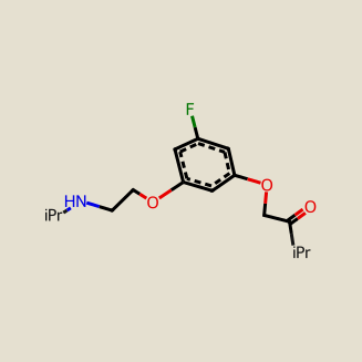 CC(C)NCCOc1cc(F)cc(OCC(=O)C(C)C)c1